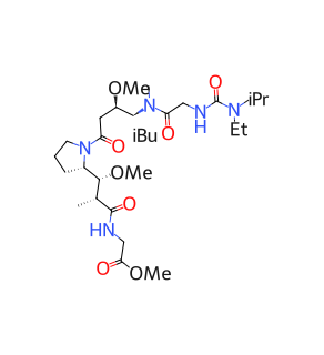 CC[C@H](C)[C@@H]([C@@H](CC(=O)N1CCC[C@H]1[C@H](OC)[C@@H](C)C(=O)NCC(=O)OC)OC)N(C)C(=O)CNC(=O)N(CC)C(C)C